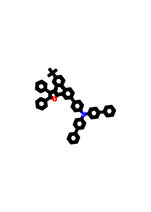 CC(C)(C)c1ccc2c3ccc(-c4ccc(N(c5ccc(-c6ccccc6)cc5)c5ccc(-c6ccccc6)cc5)cc4)cc3c3oc(-c4ccccc4)c(-c4ccccc4)c3c2c1